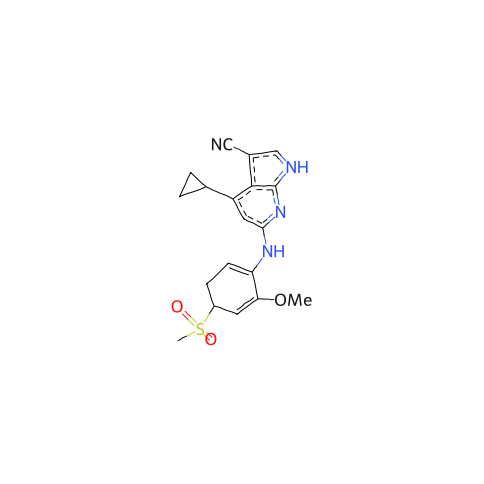 COC1=CC(S(C)(=O)=O)CC=C1Nc1cc(C2CC2)c2c(C#N)c[nH]c2n1